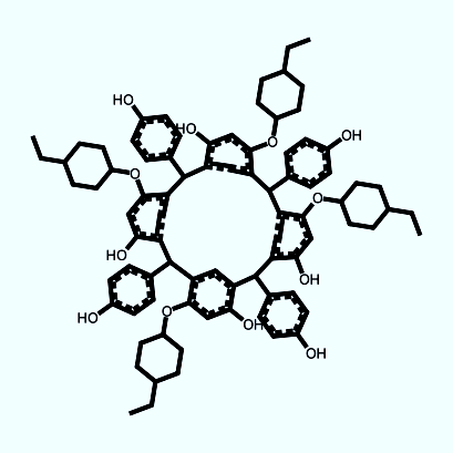 CCC1CCC(Oc2cc(O)c3cc2C(c2ccc(O)cc2)c2cc(c(OC4CCC(CC)CC4)cc2O)C(c2ccc(O)cc2)c2cc(c(OC4CCC(CC)CC4)cc2O)C(c2ccc(O)cc2)c2cc(c(O)cc2OC2CCC(CC)CC2)C3c2ccc(O)cc2)CC1